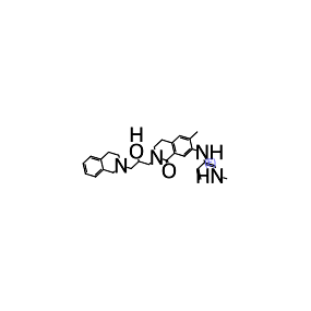 C=C/C(=C\NC)Nc1cc2c(cc1C)CCN(CC(O)CN1CCc3ccccc3C1)C2=O